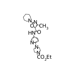 CCOC(=O)N1CCN(c2ccc(NC(=O)c3oc(N4CCCCCC4)nc3C)cn2)CC1